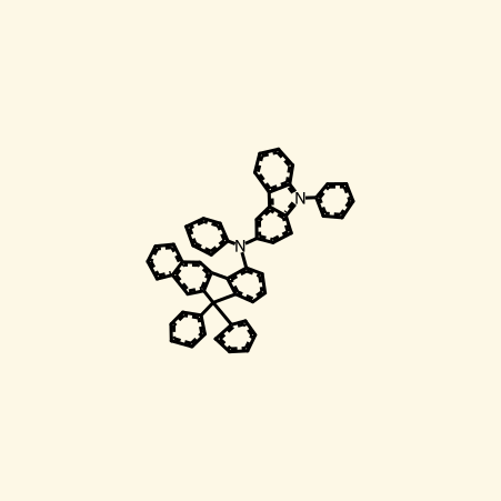 c1ccc(N(c2ccc3c(c2)c2ccccc2n3-c2ccccc2)c2cccc3c2-c2cc4ccccc4cc2C3(c2ccccc2)c2ccccc2)cc1